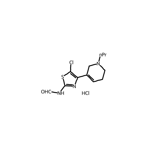 CCCN1CCC=C(c2nc(NC=O)sc2Cl)C1.Cl